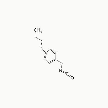 CCCCc1ccc(CN=C=O)cc1